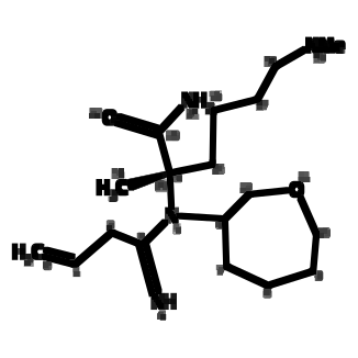 C=CCC(=N)N(C1CCCCOC1)[C@@](C)(CCCCNC)C(N)=O